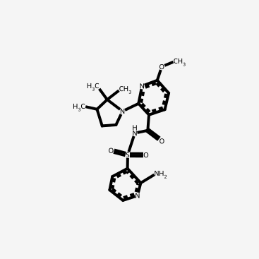 COc1ccc(C(=O)NS(=O)(=O)c2cccnc2N)c(N2CCC(C)C2(C)C)n1